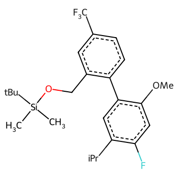 COc1cc(F)c(C(C)C)cc1-c1ccc(C(F)(F)F)cc1CO[Si](C)(C)C(C)(C)C